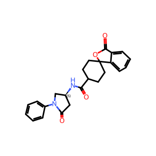 O=C1OC2(CCC(C(=O)N[C@H]3CC(=O)N(c4ccccc4)C3)CC2)c2ccccc21